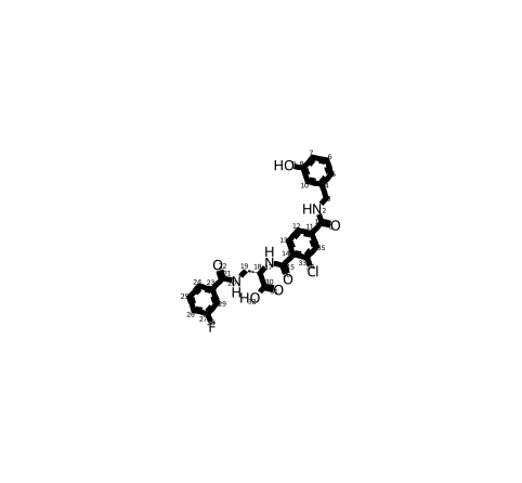 O=C(NCc1cccc(O)c1)c1ccc(C(=O)N[C@@H](CNC(=O)c2cccc(F)c2)C(=O)O)c(Cl)c1